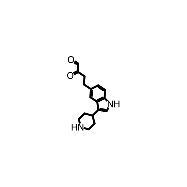 O=CC(=O)CCc1ccc2[nH]cc(C3CCNCC3)c2c1